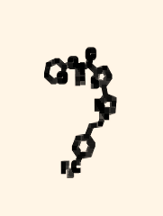 O=C(NOC1CCCCO1)c1ccc(-c2ccn(CCc3ccc(C(F)(F)F)cc3)n2)s1